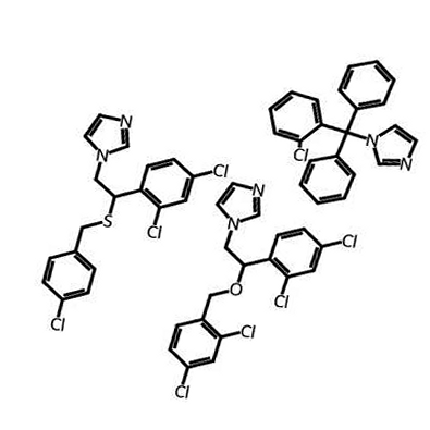 Clc1ccc(COC(Cn2ccnc2)c2ccc(Cl)cc2Cl)c(Cl)c1.Clc1ccc(CSC(Cn2ccnc2)c2ccc(Cl)cc2Cl)cc1.Clc1ccccc1C(c1ccccc1)(c1ccccc1)n1ccnc1